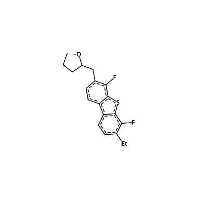 CCc1ccc2c(sc3c(F)c(CC4CCCO4)ccc32)c1F